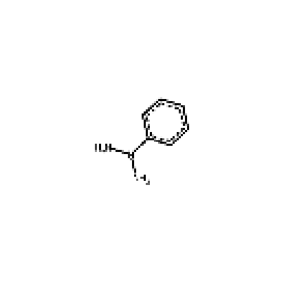 NN(N)c1ccccc1